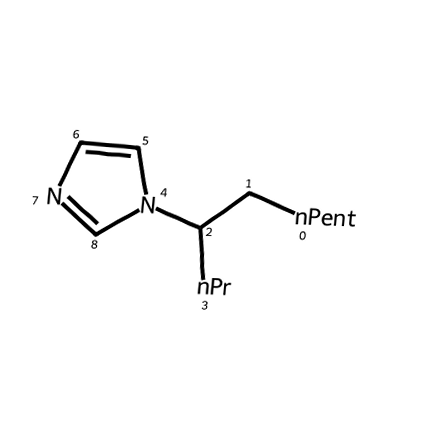 CCCCCCC(CCC)n1ccnc1